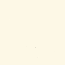 Cc1conc1-c1cc(Cl)ccc1OC(C)C(=O)O